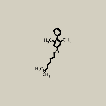 Cc1cc(OCCCCCCN(C)C)cc(C)c1-c1ccccc1